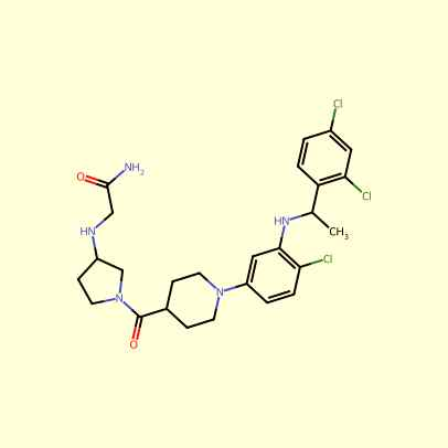 CC(Nc1cc(N2CCC(C(=O)N3CCC(NCC(N)=O)C3)CC2)ccc1Cl)c1ccc(Cl)cc1Cl